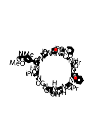 CNC(=O)c1ccc(CC[C@@H]2NC(=O)[C@H](CC(C)C)N(C)C(=O)CN(C)C(=O)[C@H]([C@@H](C)O)NC(O)[C@H](CC(C)C)N(C)C(=O)[C@H](CC(C)C)NC(=O)[C@H](Cc3ccccc3)N(C)C(=O)[C@@H](C(C)C)NC(=O)C[C@@H](C(=O)N3CCCCC3)NC(=O)[C@H](CC(C)C)N(C)C(=O)[C@H](CC(C)C)N(C)C2=O)cc1OC